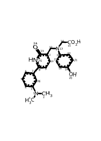 CN(C)c1cccc(-c2ccc(CN(CC(=O)O)c3ccc(O)cc3)c(=O)[nH]2)c1